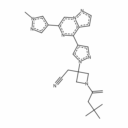 C=C(CC(C)(C)C)N1CC(CC#N)(n2cc(-c3nc(-c4cnn(C)c4)cn4nccc34)cn2)C1